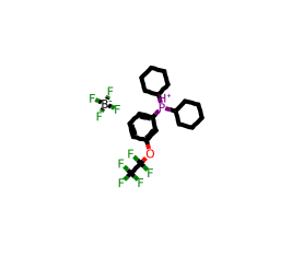 FC(F)(F)C(F)(F)Oc1cccc([PH+](C2CCCCC2)C2CCCCC2)c1.F[B-](F)(F)F